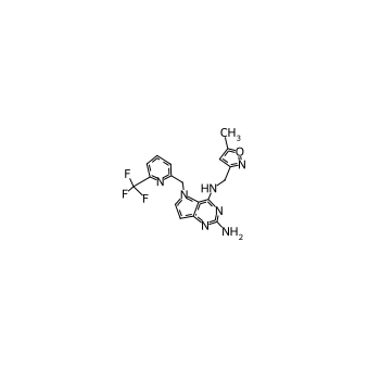 Cc1cc(CNc2nc(N)nc3ccn(Cc4cccc(C(F)(F)F)n4)c23)no1